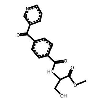 COC(=O)C(CO)NC(=O)c1ccc(C(=O)c2cccnc2)cc1